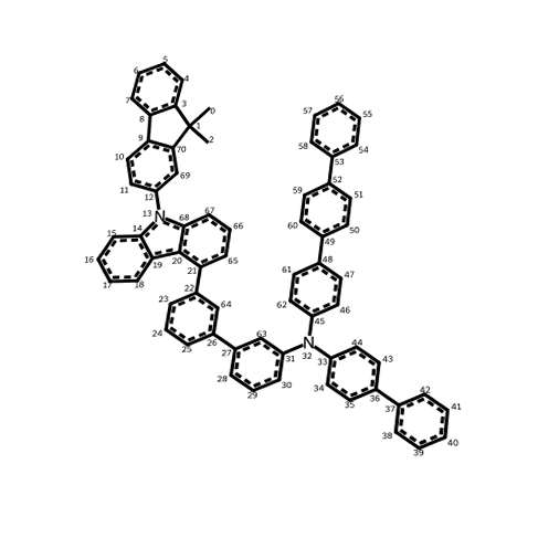 CC1(C)c2ccccc2-c2ccc(-n3c4ccccc4c4c(-c5cccc(-c6cccc(N(c7ccc(-c8ccccc8)cc7)c7ccc(-c8ccc(-c9ccccc9)cc8)cc7)c6)c5)cccc43)cc21